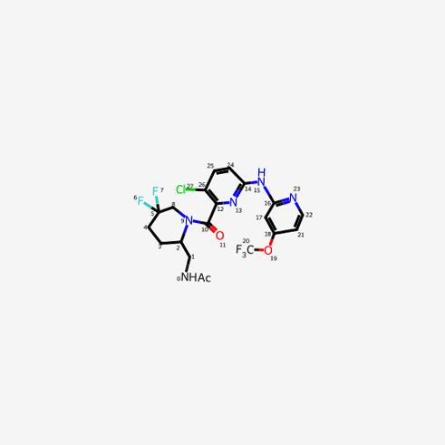 CC(=O)NCC1CCC(F)(F)CN1C(=O)c1nc(Nc2cc(OC(F)(F)F)ccn2)ccc1Cl